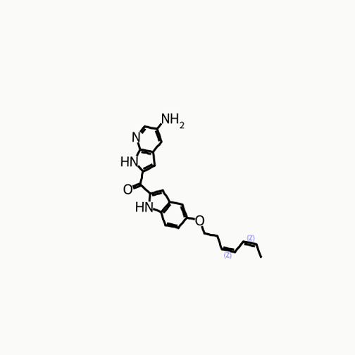 C/C=C\C=C/CCOc1ccc2[nH]c(C(=O)c3cc4cc(N)cnc4[nH]3)cc2c1